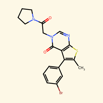 Cc1sc2ncn(CC(=O)N3CCCC3)c(=O)c2c1-c1cccc(Br)c1